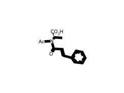 CC(=O)N(C(=O)C=Cc1ccccc1)[C@@H](C)C(=O)O